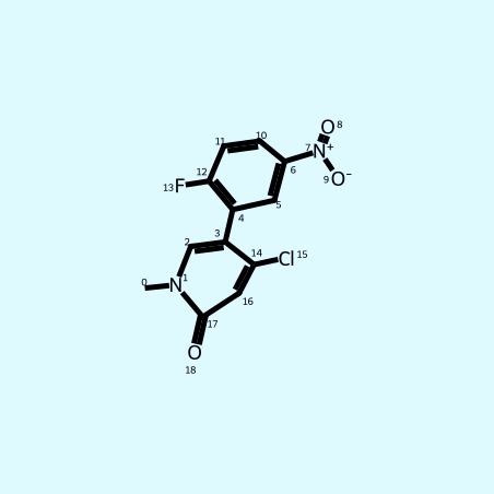 Cn1cc(-c2cc([N+](=O)[O-])ccc2F)c(Cl)cc1=O